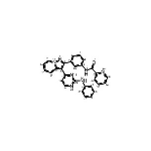 O=C(Nc1cccc(-c2nn3ccccc3c2-c2ccnc(Nc3ccccc3)n2)c1)c1ccccn1